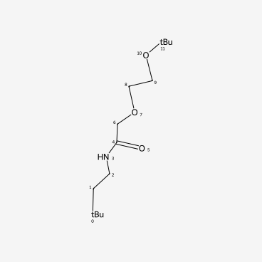 CC(C)(C)CCNC(=O)COCCOC(C)(C)C